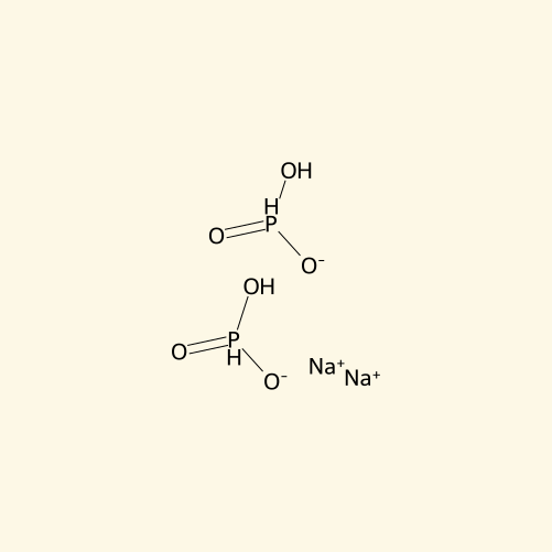 O=[PH]([O-])O.O=[PH]([O-])O.[Na+].[Na+]